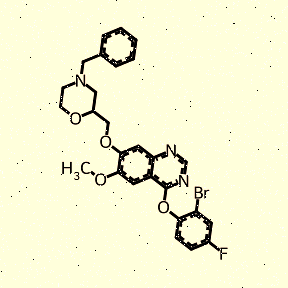 COc1cc2c(Oc3ccc(F)cc3Br)ncnc2cc1OCC1CN(Cc2ccccc2)CCO1